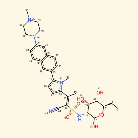 CC[C@H]1OC(O)[C@H](NS(=O)(=O)/C(C#N)=C(\C)c2ccc(-c3ccc4cc(N5CCN(C)CC5)ccc4c3)n2C)[C@@H](O)[C@@H]1O